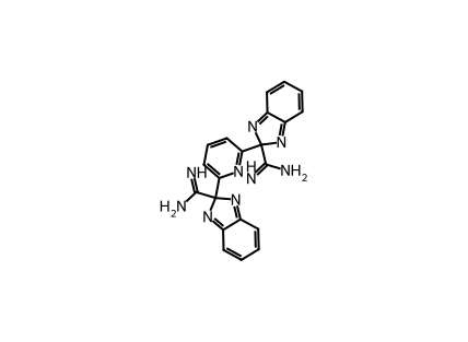 N=C(N)C1(c2cccc(C3(C(=N)N)N=c4ccccc4=N3)n2)N=c2ccccc2=N1